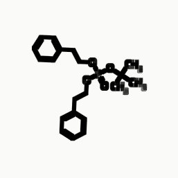 CC(C)(C)OP(=O)(OCCc1ccccc1)OCCc1ccccc1